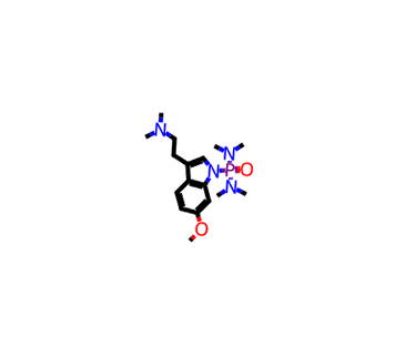 COc1ccc2c(CCN(C)C)cn(P(=O)(N(C)C)N(C)C)c2c1